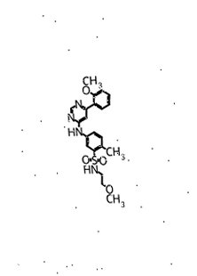 COCCNS(=O)(=O)c1cc(Nc2cc(-c3ccccc3OC)ncn2)ccc1C